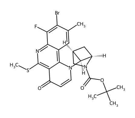 CSc1nc2c(F)c(Br)c(C)cc2c2c1c(=O)ccn2[C@H]1[C@@H]2C[C@H]1N(C(=O)OC(C)(C)C)C2